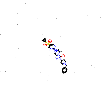 C[C@@H]1CN(c2ncc(S(=O)(=O)C3CC3)cn2)C[C@H](C)N1C(=O)NC1CCN(Cc2ccccc2)CC1